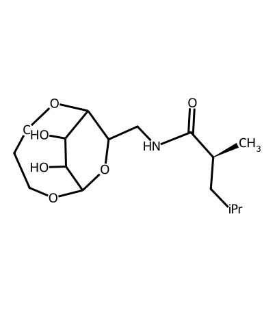 CC(C)C[C@H](C)C(=O)NCC1OC2OCCCOC1C(O)C2O